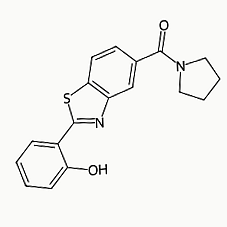 O=C(c1ccc2sc(-c3ccccc3O)nc2c1)N1CCCC1